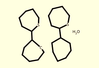 C1CCCC(C2CCCCCS2)CC1.C1CCCC(C2CCCCCS2)CC1.O